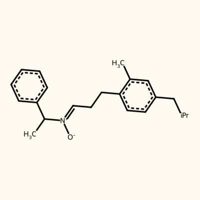 Cc1cc(CC(C)C)ccc1CCC=[N+]([O-])C(C)c1ccccc1